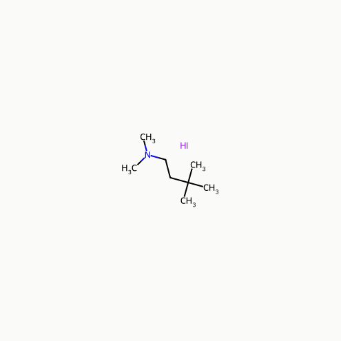 CN(C)CCC(C)(C)C.I